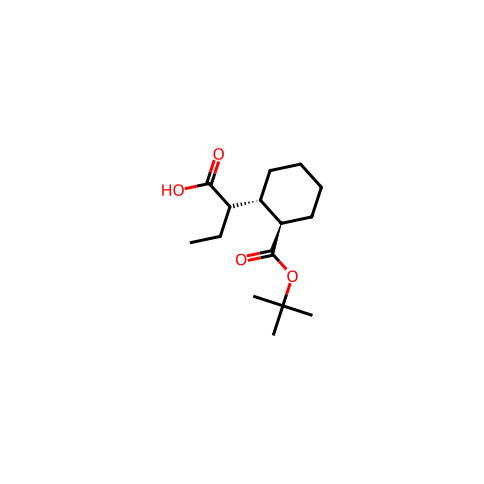 CCC(C(=O)O)[C@@H]1CCCC[C@H]1C(=O)OC(C)(C)C